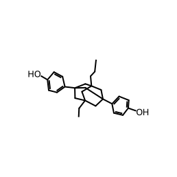 CCCC12CC3(CC)CC(c4ccc(O)cc4)(C1)CC(c1ccc(O)cc1)(C3)C2